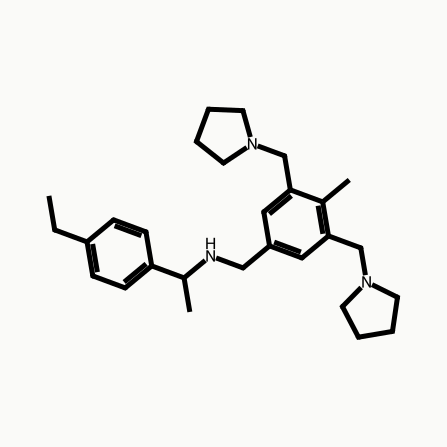 CCc1ccc(C(C)NCc2cc(CN3CCCC3)c(C)c(CN3CCCC3)c2)cc1